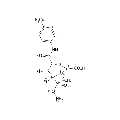 CCC1C(C(=O)Nc2ccc(C(F)(F)F)cc2)C2C(C(=O)O)C2(C)C1(CC)C(=O)ON